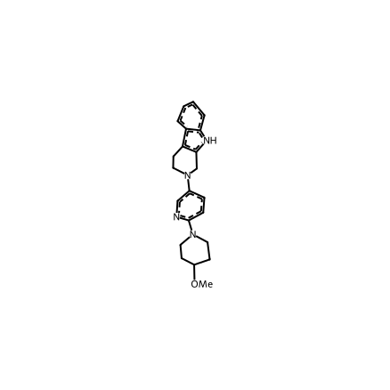 COC1CCN(c2ccc(N3CCc4c([nH]c5ccccc45)C3)cn2)CC1